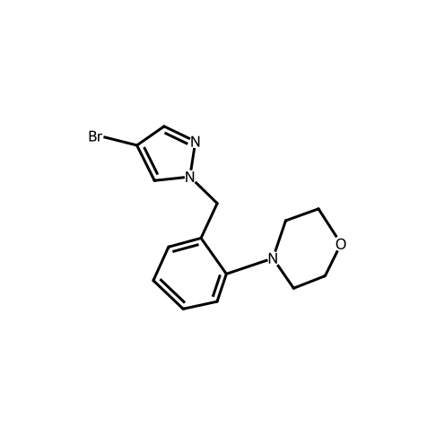 Brc1cnn(Cc2ccccc2N2CCOCC2)c1